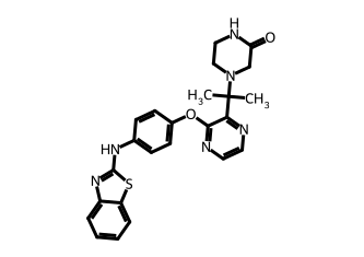 CC(C)(c1nccnc1Oc1ccc(Nc2nc3ccccc3s2)cc1)N1CCNC(=O)C1